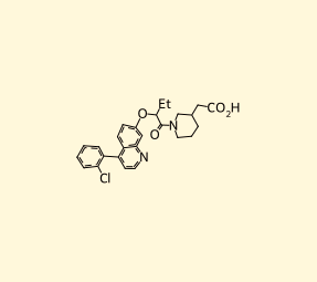 CCC(Oc1ccc2c(-c3ccccc3Cl)ccnc2c1)C(=O)N1CCCC(CC(=O)O)C1